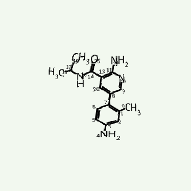 Cc1cc(N)ccc1-c1cnc(N)c(C(=O)NC(C)C)c1